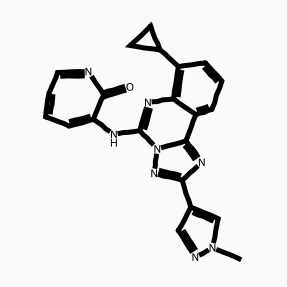 Cn1cc(-c2nc3c4cccc(C5CC5)c4nc(Nc4ccccnc4=O)n3n2)cn1